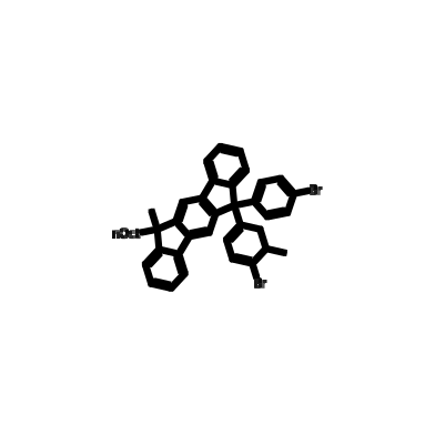 CCCCCCCCC1(C)c2ccccc2-c2cc3c(cc21)-c1ccccc1C3(C1=CC=C(Br)C(C)C1)c1ccc(Br)cc1